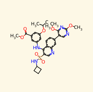 COC(=O)c1cc(Nc2c(S(=O)(=O)NC3CCC3)cnc3cc(-c4cnc(OC)nc4OC)ccc23)cc(OC(C)C)c1